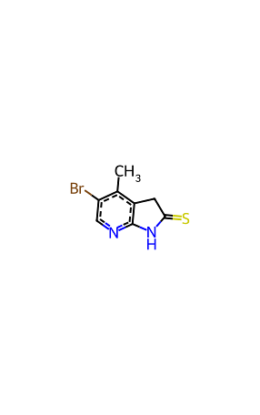 Cc1c(Br)cnc2c1CC(=S)N2